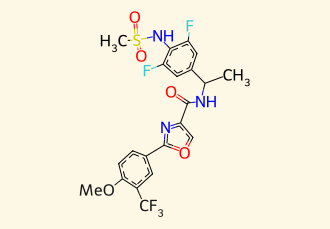 COc1ccc(-c2nc(C(=O)NC(C)c3cc(F)c(NS(C)(=O)=O)c(F)c3)co2)cc1C(F)(F)F